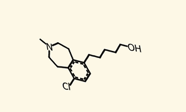 CN1CCc2c(Cl)ccc(CCCCCO)c2CC1